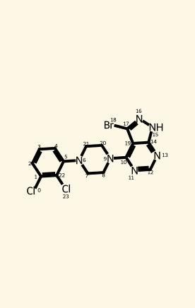 Clc1cccc(N2CCN(c3ncnc4[nH]nc(Br)c34)CC2)c1Cl